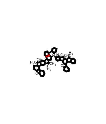 CC1(C)c2cc(N(c3ccc4c(c3)C(C)(C)c3c5c(c6c(oc7ccccc76)c3-4)-c3ccccc3C5(C)C)c3ccccc3-c3ccccc3)ccc2-c2cc3c(cc21)-c1c(ccc2oc4ccccc4c12)C3(C)C